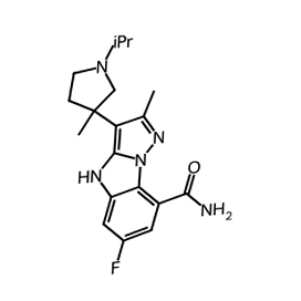 Cc1nn2c([nH]c3cc(F)cc(C(N)=O)c32)c1C1(C)CCN(C(C)C)C1